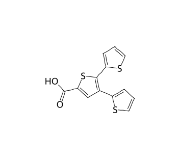 O=C(O)c1cc(-c2cccs2)c(-c2cccs2)s1